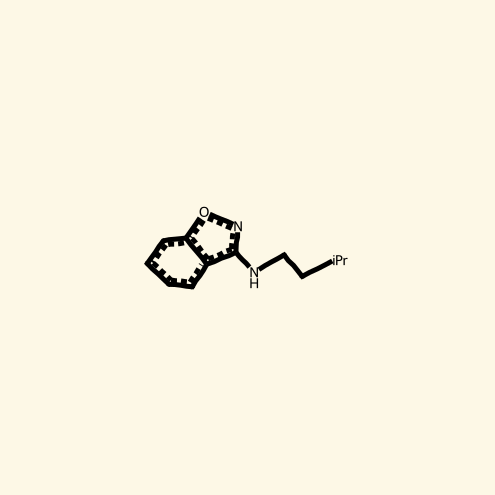 CC(C)CCNc1noc2ccccc12